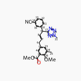 COC(=O)c1cc(CC=CC(c2cccc(C#N)c2)c2nnn(C)n2)cc(C)c1OC